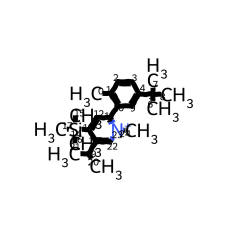 Cc1ccc(C(C)(C)C)cc1-c1cc([Si](C)(C)C)c(C(C)C)c[n+]1C